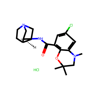 CN1CC(C)(C)Oc2c(C(=O)N[C@@H]3CN4CCC3CC4)cc(Cl)cc21.Cl